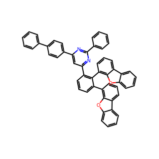 c1ccc(-c2ccc(-c3cc(-c4cccc(-c5cccc6c5oc5ccccc56)c4-c4cccc5c4oc4ccccc45)nc(-c4ccccc4)n3)cc2)cc1